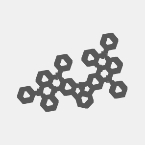 c1ccc(N2c3ccccc3B3c4cc5c(cc4N(c4ccccc4)c4cccc2c43)c2cccc3c4cc6c(cc4n5c23)N(c2ccccc2)c2cccc3c2B6c2ccccc2N3c2ccccc2)cc1